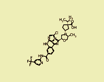 CC(C)[C@@]1(C(=O)O)CC[C@@H](N2C[C@H](c3nc4c5c(ncc(Cl)n35)Nc3cc(C(=O)Nc5cc(C(F)(F)F)ccn5)ccc3-4)OC[C@@H]2C)C1